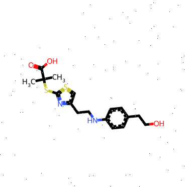 CC(C)(Sc1nc(CCNc2ccc(CCO)cc2)cs1)C(=O)O